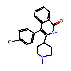 CN1CCC(c2[nH]c(=O)c3ccccc3c2-c2ccc(Cl)cc2)CC1